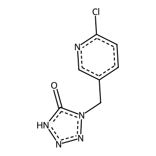 O=c1[nH]nnn1Cc1ccc(Cl)nc1